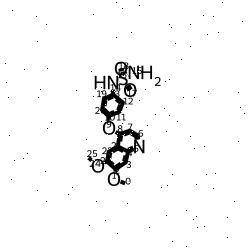 COc1cc2nccc(Oc3ccc(NS(N)(=O)=O)cc3)c2cc1OC